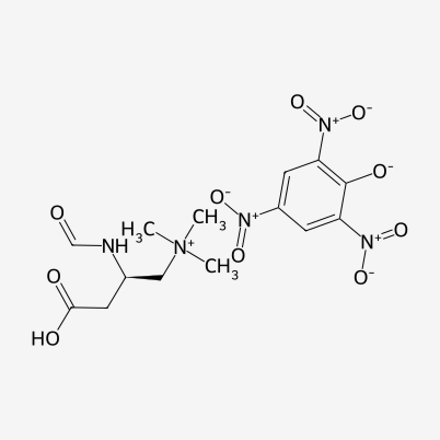 C[N+](C)(C)C[C@@H](CC(=O)O)NC=O.O=[N+]([O-])c1cc([N+](=O)[O-])c([O-])c([N+](=O)[O-])c1